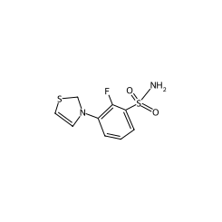 NS(=O)(=O)c1cccc(N2C=CSC2)c1F